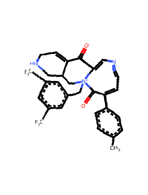 Cc1ccc(/C2=C/C=N\C=C3\C(=O)C4=CCNCC4C[N+]3(Cc3cc(C(F)(F)F)cc(C(F)(F)F)c3)C2=O)cc1